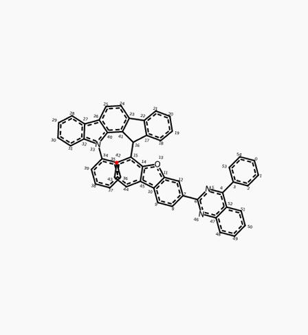 c1ccc(-c2nc(-c3ccc4c(c3)oc3c(C5c6ccccc6-c6ccc7c8ccccc8n(-c8ccccc8)c7c65)cccc34)nc3ccccc23)cc1